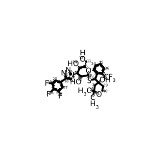 CC1(C)CC(O)(C(S[C@@H]2O[C@H](CO)[C@H](O)[C@H](n3cc(-c4cc(F)c(F)c(F)c4)nn3)[C@H]2O)c2ccccc2C(F)(F)F)CCO1